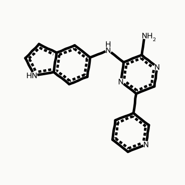 Nc1ncc(-c2cccnc2)nc1Nc1ccc2[nH]ccc2c1